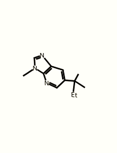 CCC(C)(C)c1cnc2c(c1)ncn2C